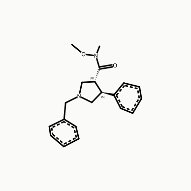 CON(C)C(=O)[C@H]1CN(Cc2ccccc2)C[C@@H]1c1ccccc1